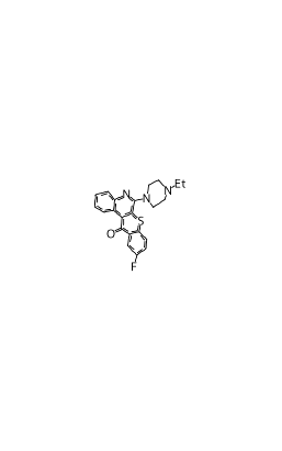 CCN1CCN(c2nc3ccccc3c3c(=O)c4cc(F)ccc4sc23)CC1